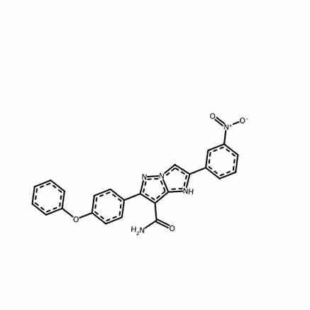 NC(=O)c1c(-c2ccc(Oc3ccccc3)cc2)nn2cc(-c3cccc([N+](=O)[O-])c3)[nH]c12